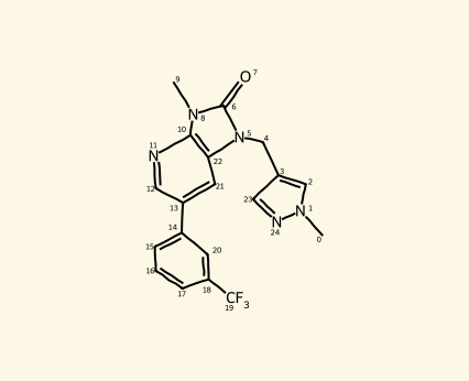 Cn1cc(Cn2c(=O)n(C)c3ncc(-c4cccc(C(F)(F)F)c4)cc32)cn1